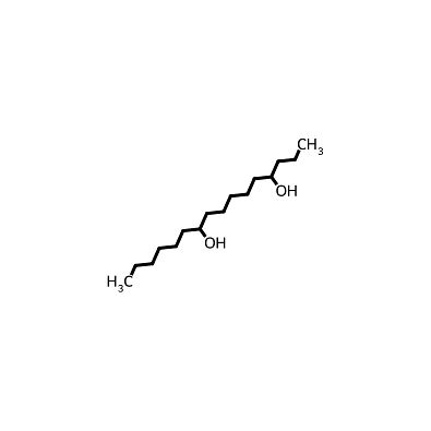 CCCCCCC(O)CCCCCC(O)CCC